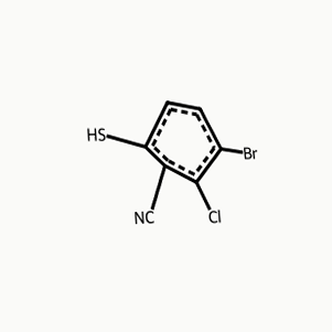 N#Cc1c(S)ccc(Br)c1Cl